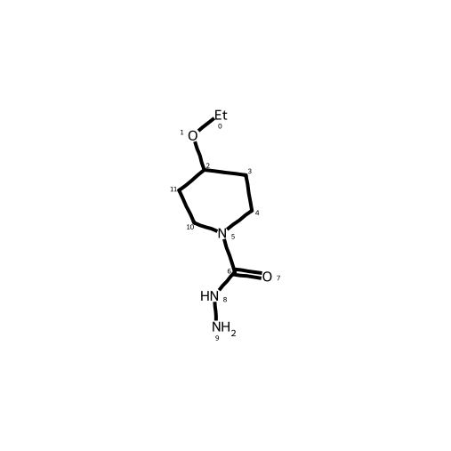 CCOC1CCN(C(=O)NN)CC1